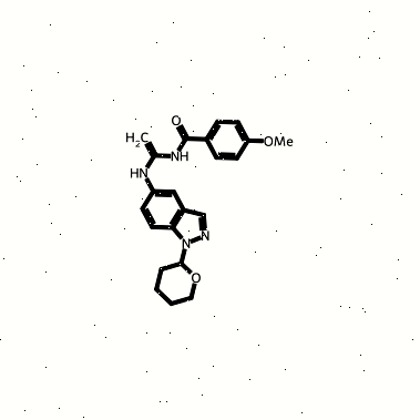 C=C(NC(=O)c1ccc(OC)cc1)Nc1ccc2c(cnn2C2CCCCO2)c1